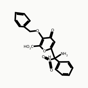 NC(c1ccccc1)(c1cc(=O)c(OCc2ccccc2)c(C(=O)O)o1)[SH](=O)=O